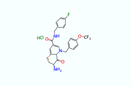 Cl.N[C@H]1CSC2=CC(C(=O)NCc3ccc(F)cc3)=CN(Cc3ccc(OC(F)(F)F)cc3)C2C1=O